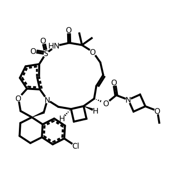 COC1CN(C(=O)O[C@H]2/C=C/COC(C)(C)C(=O)NS(=O)(=O)c3ccc4c(c3)N(C[C@@H]3CC[C@H]32)C[C@@]2(CCCc3cc(Cl)ccc32)CO4)C1